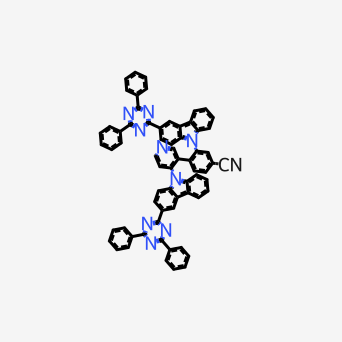 N#Cc1ccc(-c2cnccc2-n2c3ccccc3c3cc(-c4nc(-c5ccccc5)nc(-c5ccccc5)n4)ccc32)c(-n2c3ccccc3c3cc(-c4nc(-c5ccccc5)nc(-c5ccccc5)n4)ccc32)c1